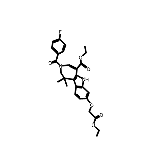 CCOC(=O)COc1ccc2c3c([nH]c2c1)C(C(=O)OCC)=CN(C(=O)c1ccc(F)cc1)CC3(C)C